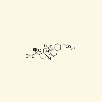 C[C@H](C=O)[C@H]1CC[C@H]2C3=CCC4C[C@@H](CC(=O)O)CC[C@]4(C)[C@H]3CC[C@]12C